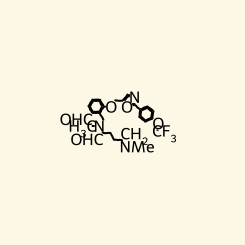 C=C(CCC(C=O)N(C)Cc1c(C=O)cccc1OCc1cnc(-c2ccc(OC(F)(F)F)cc2)o1)NC